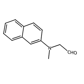 CN(CC=O)c1ccc2ccccc2c1